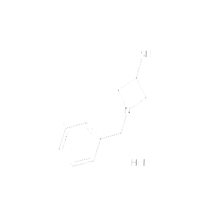 C[C@H](c1ccccc1)N1CC(S)C1.Cl